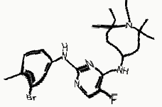 Cc1ccc(Nc2ncc(F)c(NC3CC(C)(C)N(C)C(C)(C)C3)n2)cc1Br